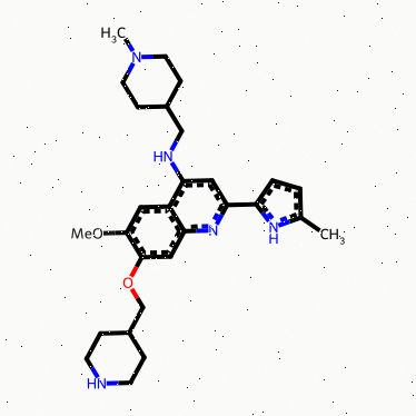 COc1cc2c(NCC3CCN(C)CC3)cc(-c3ccc(C)[nH]3)nc2cc1OCC1CCNCC1